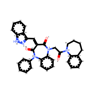 O=C(CN1C(=O)/C(=C/c2n[nH]c3ccccc23)C(=O)N(c2ccccc2)c2ccccc21)N1CCCCc2ccccc21